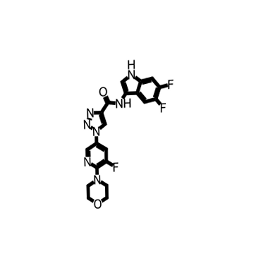 O=C(Nc1c[nH]c2cc(F)c(F)cc12)c1cn(-c2cnc(N3CCOCC3)c(F)c2)nn1